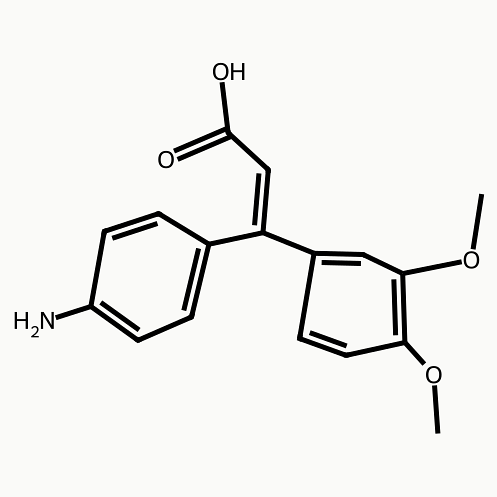 COc1ccc(C(=CC(=O)O)c2ccc(N)cc2)cc1OC